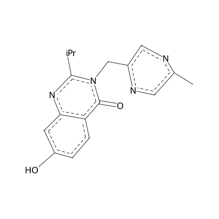 Cc1cnc(Cn2c(C(C)C)nc3cc(O)ccc3c2=O)cn1